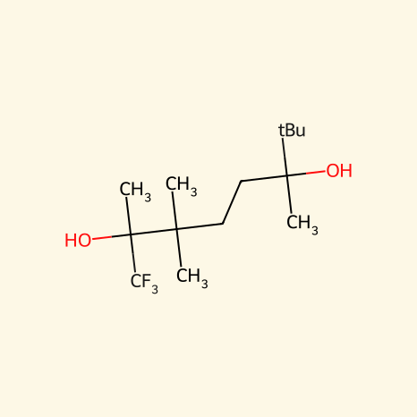 CC(C)(C)C(C)(O)CCC(C)(C)C(C)(O)C(F)(F)F